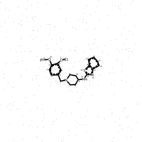 CCOc1cc(CN2CCC(Nc3nc4ccccc4s3)CC2)ccc1OC(C)C